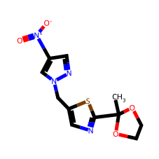 CC1(c2ncc(Cn3cc([N+](=O)[O-])cn3)s2)OCCO1